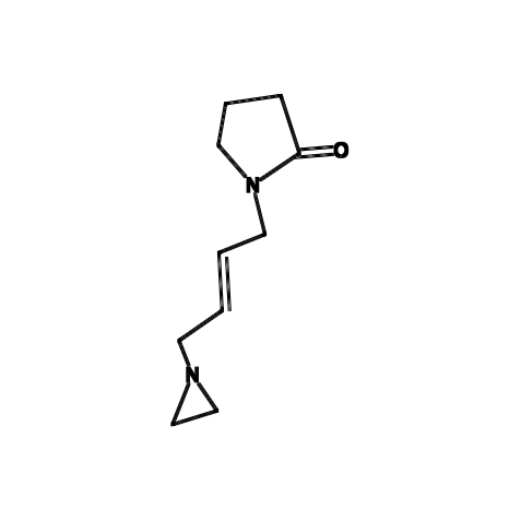 O=C1CCCN1C/C=C/CN1CC1